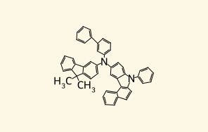 CC1(C)c2ccccc2-c2cc(N(c3cccc(-c4ccccc4)c3)c3ccc4c(c3)c3c5ccccc5ccc3n4-c3ccccc3)ccc21